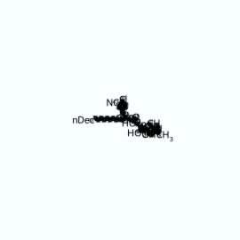 C#C[C@@]1(c2ccc3c(C)ncnn23)O[C@H](COP(=O)(O)OC[C@@H](COCCCCCCCCCCCCCCCCCC)OCc2ccc(Cl)c(C#N)c2)[C@@H](O)[C@H]1O